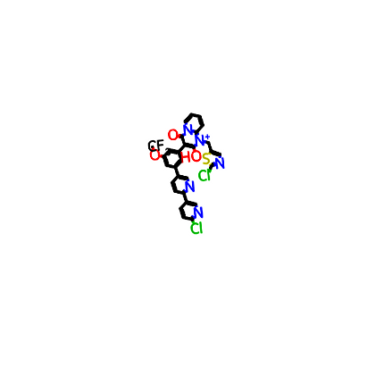 O=c1c(-c2cc(OC(F)(F)F)cc(-c3ccc(-c4ccc(Cl)nc4)nc3)c2)c(O)[n+](Cc2cnc(Cl)s2)c2ccccn12